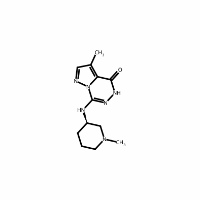 Cc1cnn2c(N[C@@H]3CCCN(C)C3)n[nH]c(=O)c12